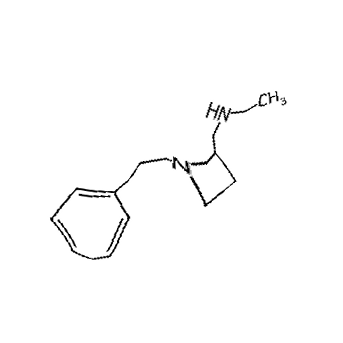 CNC1CCN1Cc1ccccc1